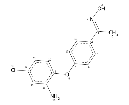 CC(=NO)c1ccc(Oc2ccc(Cl)cc2N)cc1